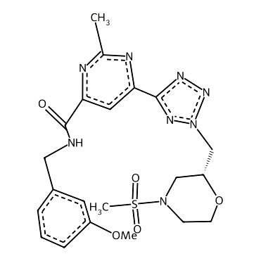 COc1cccc(CNC(=O)c2cc(-c3nnn(C[C@H]4CN(S(C)(=O)=O)CCO4)n3)nc(C)n2)c1